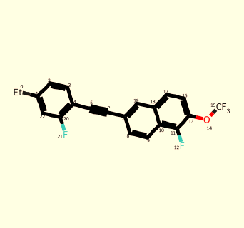 CCc1ccc(C#Cc2ccc3c(F)c(OC(F)(F)F)ccc3c2)c(F)c1